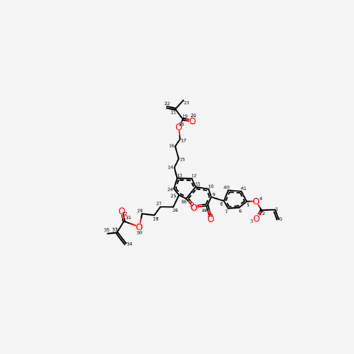 C=CC(=O)Oc1ccc(-c2cc3cc(CCCCOC(=O)C(=C)C)cc(CCCCOC(=O)C(=C)C)c3oc2=O)cc1